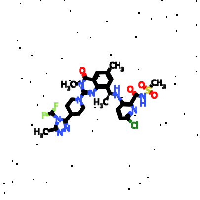 Cc1cc([C@@H](C)Nc2ccc(Cl)nc2C(=O)NS(C)(=O)=O)c2nc(N3CCC(c4nnc(C)n4C(F)F)CC3)n(C)c(=O)c2c1